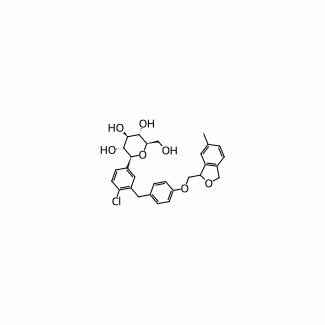 Cc1ccc2c(c1)C(COc1ccc(Cc3cc([C@@H]4O[C@H](CO)[C@@H](O)[C@H](O)[C@H]4O)ccc3Cl)cc1)OC2